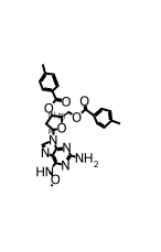 CONc1nc(N)nc2c1ncn2[C@H]1C[C@H](OC(=O)c2ccc(C)cc2)[C@@H](COC(=O)c2ccc(C)cc2)O1